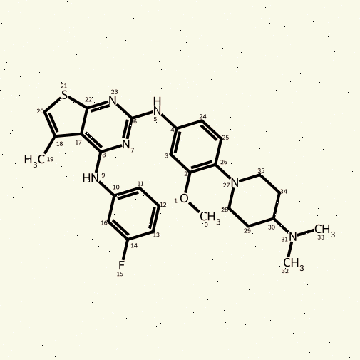 COc1cc(Nc2nc(Nc3cccc(F)c3)c3c(C)csc3n2)ccc1N1CCC(N(C)C)CC1